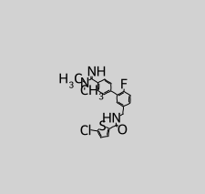 CN(C)C(=N)c1ccc(-c2cc(CNC(=O)c3ccc(Cl)s3)ccc2F)cc1